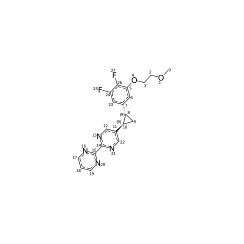 COCCOc1cc([C@@H]2C[C@H]2c2cnc(-c3ncccn3)nc2)cc(F)c1F